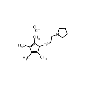 CC1=C(C)[CH]([Ti+2][CH2]CN2CCCC2)C(C)=C1C.[Cl-].[Cl-]